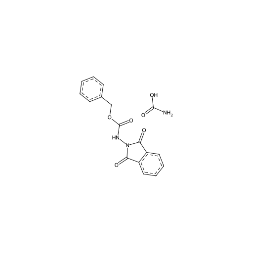 NC(=O)O.O=C(NN1C(=O)c2ccccc2C1=O)OCc1ccccc1